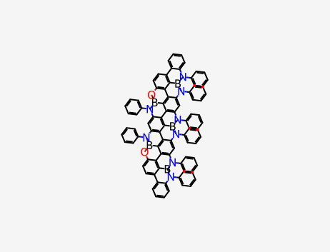 c1ccc(N2B3c4c(ccc5c4-c4c(cc6c7c4B(O5)N(c4ccccc4)c4cc5c8c(c4-7)B(N6c4ccccc4)N(c4ccccc4)c4cc6c7c(c4-8)B(Oc4ccc8c(c4-7)B(N(c4ccccc4)c4ccccc4-8)N6c4ccccc4)N5c4ccccc4)N3c3ccccc3)-c3ccccc32)cc1